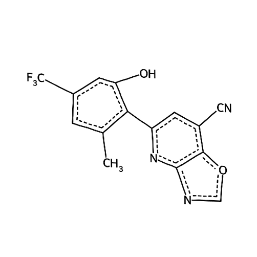 Cc1cc(C(F)(F)F)cc(O)c1-c1cc(C#N)c2ocnc2n1